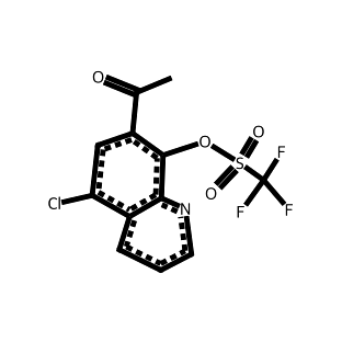 CC(=O)c1cc(Cl)c2cccnc2c1OS(=O)(=O)C(F)(F)F